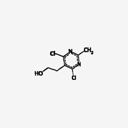 Cc1nc(Cl)c(CCO)c(Cl)n1